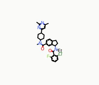 CCN(C(=O)c1c(F)cccc1Cl)[C@@H]1CCc2ccc(C(=O)N(C)C3CCC(c4cc(C)nc(C)n4)CC3)cc21